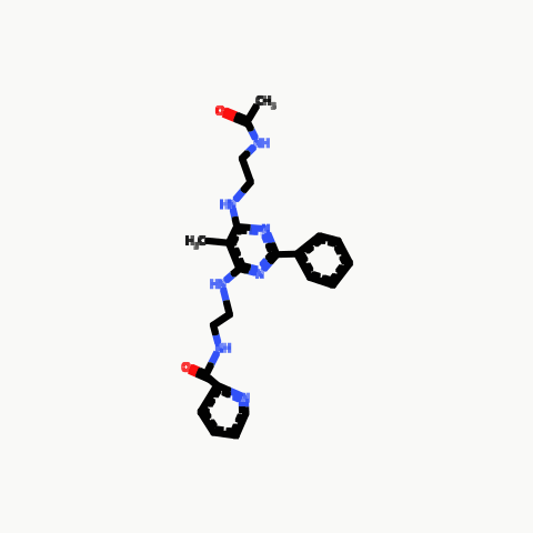 CC(=O)NCCNc1nc(-c2ccccc2)nc(NCCNC(=O)c2ccccn2)c1C